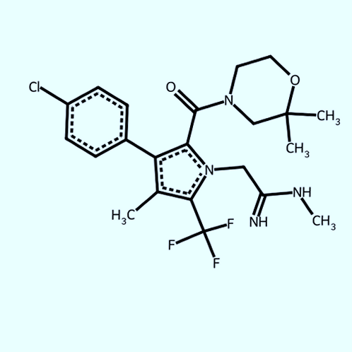 CNC(=N)Cn1c(C(=O)N2CCOC(C)(C)C2)c(-c2ccc(Cl)cc2)c(C)c1C(F)(F)F